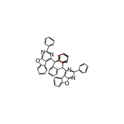 c1ccc(-c2nc(C34c5ccccc5C(c5nc(-c6ccccc6)nc6oc7ccccc7c56)(c5ccccc53)c3ccccc34)c3c(n2)oc2ccccc23)cc1